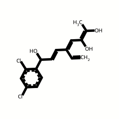 C=CC(/C=C/C(O)c1ccc(Cl)cc1Cl)=C\C(O)=C(/C)O